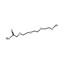 CC(C)OCCOCCOCCOCC(=O)C(C)(C)C